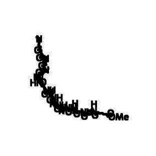 COC(=O)CCCCCCC(=O)Nc1ccc(C(=O)NCCC(=O)NCCC(=O)Nc2cn(C)c(C(=O)Nc3cn(C)c(C(=O)Nc4cc(C(=O)NCCCC(=O)Nc5cn(C)c(C(=O)Cc6cc(C(=O)Cc7cc(C(=O)CCCC(=O)CCCCN(C)C)n(C)c7)n(C)c6)n5)n(C)c4)n3)n2)cc1